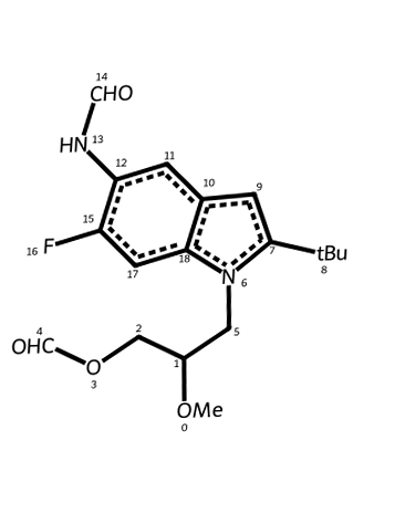 COC(COC=O)Cn1c(C(C)(C)C)cc2cc(NC=O)c(F)cc21